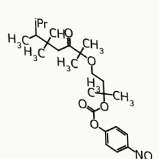 CC(C)C(C)C(C)(C)CC(=O)C(C)(C)OCCC(C)(C)OC(=O)Oc1ccc([N+](=O)[O-])cc1